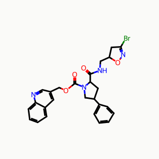 O=C(NCC1CC(Br)=NO1)C1CC(c2ccccc2)CN1C(=O)OCc1cnc2ccccc2c1